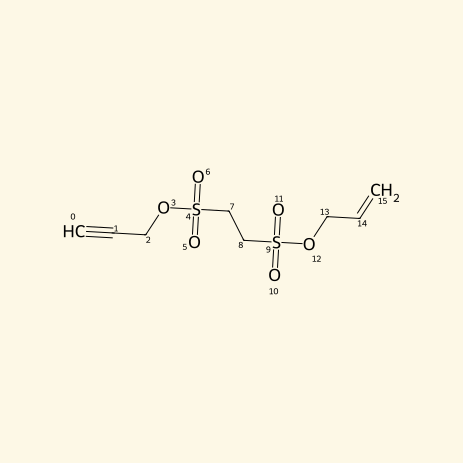 C#CCOS(=O)(=O)CCS(=O)(=O)OCC=C